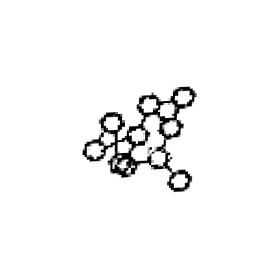 c1ccc(-c2cc(-c3ccccc3)nc(-c3ccc4c5ccccc5c5cccc(-c6ccc7c(c6)C6(c8ccccc8-c8ccccc86)c6ccccc6-7)c5c4c3)n2)cc1